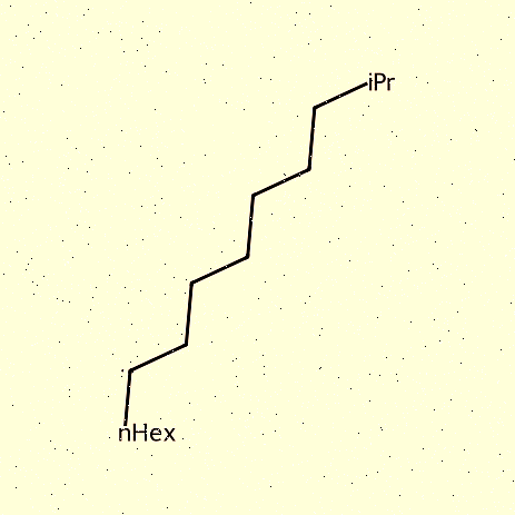 CCCCCC[CH]CCCCCCC(C)C